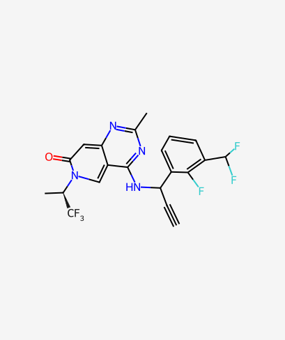 C#CC(Nc1nc(C)nc2cc(=O)n([C@H](C)C(F)(F)F)cc12)c1cccc(C(F)F)c1F